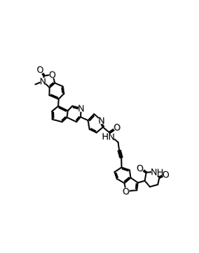 Cn1c(=O)oc2ccc(-c3cccc4cc(-c5ccc(C(=O)NCC#Cc6ccc7occ(C8CCC(=O)NC8=O)c7c6)nc5)ncc34)cc21